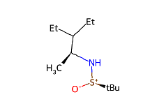 CCC(CC)[C@H](C)N[S@+]([O-])C(C)(C)C